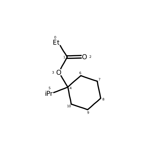 CCC(=O)OC1(C(C)C)CCCCC1